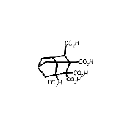 O=C(O)C1C2CC3CC(C(=O)O)(C2)C(C(=O)O)(C(=O)O)C1(C(=O)O)C3